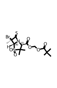 CC(C)(C)C(=O)OCOC(=O)[C@@H]1N2C(=S)[C@](C)(Br)[C@H]2S(=O)(=O)C1(C)C